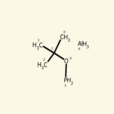 CC(C)(C)OP.[AlH3]